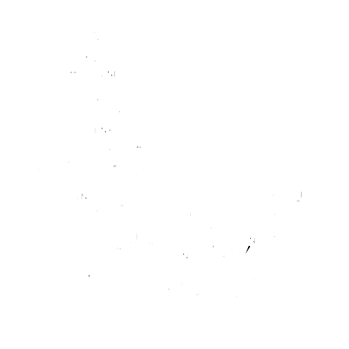 COc1nc(-c2cccc(-c3cccc(-c4cc5c(c(OC)n4)[C@@H](N4CC(OC)C4)CC5)c3Cl)c2Cl)cc2c1[C@H](NC[C@@H]1CCC(=O)N1)CC2